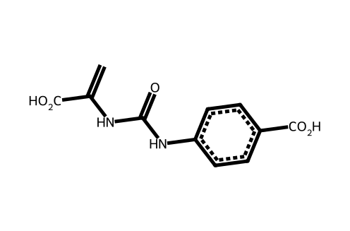 C=C(NC(=O)Nc1ccc(C(=O)O)cc1)C(=O)O